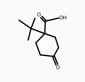 CC(C)(C)C1(C(=O)O)CCC(=O)CC1